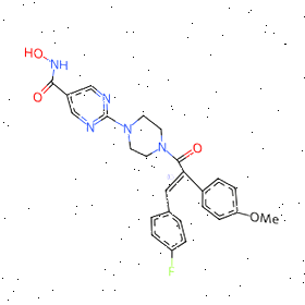 COc1ccc(/C(=C\c2ccc(F)cc2)C(=O)N2CCN(c3ncc(C(=O)NO)cn3)CC2)cc1